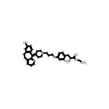 CCOC(=O)[C@@H](N)Cc1ccc(OCCCN2CCC(=C3c4ccc(Cl)cc4CCc4cccnc43)CC2)cc1